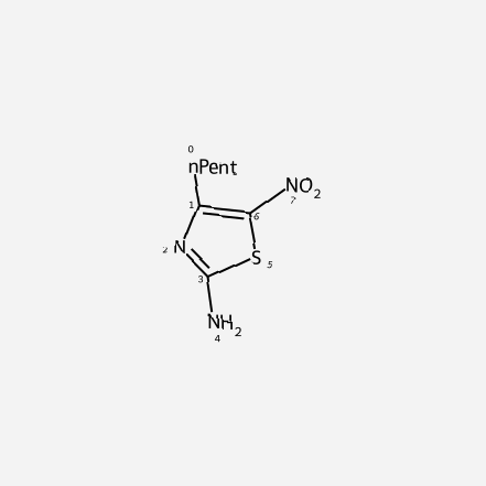 CCCCCc1nc(N)sc1[N+](=O)[O-]